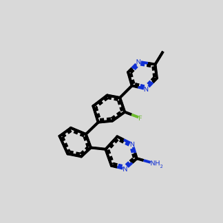 Cc1cnc(-c2ccc(-c3ccccc3-c3cnc(N)nc3)cc2F)cn1